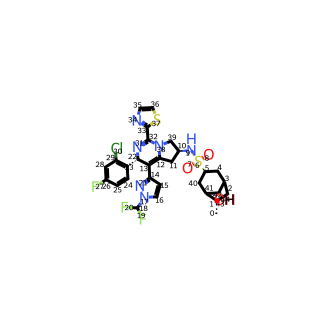 C[C@H]1CC2C[C@@H](S(=O)(=O)N[C@H]3CC4=C(c5ccn(C(F)F)n5)[C@H](c5ccc(F)cc5Cl)N=C(c5nccs5)N4C3)CC1[C@@H]2O